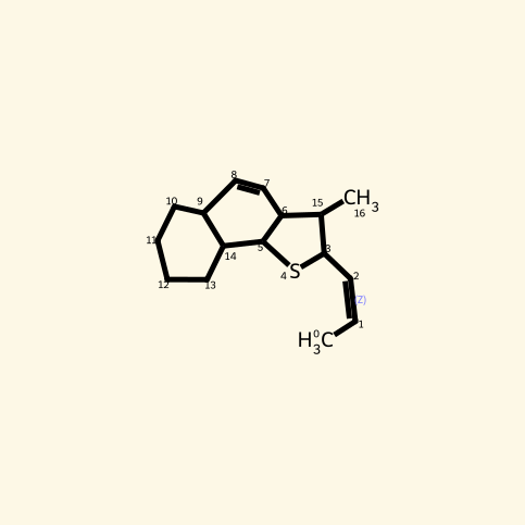 C/C=C\C1SC2C(C=CC3CCCCC32)C1C